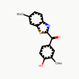 COc1ccc2nc(C(=O)c3ccc(O)c(OC)c3)sc2c1